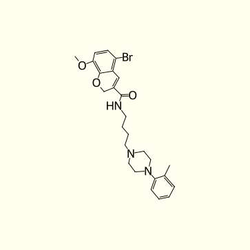 COc1ccc(Br)c2c1OCC(C(=O)NCCCCN1CCN(c3ccccc3C)CC1)=C2